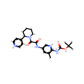 Cc1cc(NC(=O)C(=O)N2CCCCC2c2ccncc2)cnc1NC(=O)OC(C)(C)C